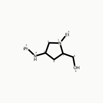 CCN1CC(NC(C)C)CC1CO